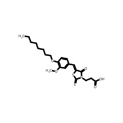 CCCCCCCCOc1ccc(/C=C2\SC(=S)N(CCC(=O)O)C2=O)cc1OC